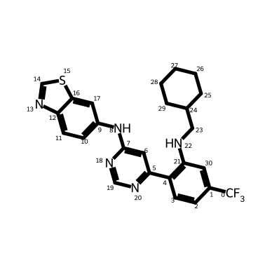 FC(F)(F)c1ccc(-c2cc(Nc3ccc4ncsc4c3)ncn2)c(NCC2CCCCC2)c1